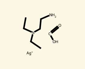 CCN(CC)CCN.O=[C-]O.[Ag+]